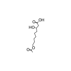 CC(=O)OCCCCCCC(O)CC(=O)O